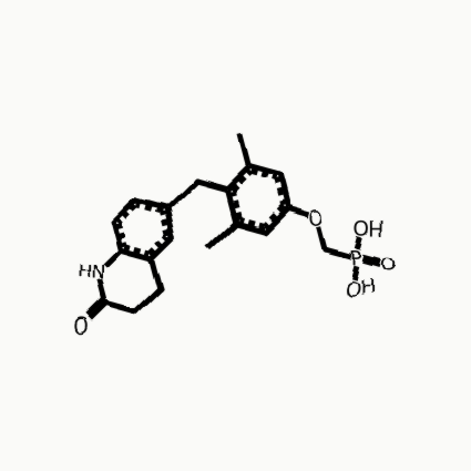 Cc1cc(OCP(=O)(O)O)cc(C)c1Cc1ccc2c(c1)CCC(=O)N2